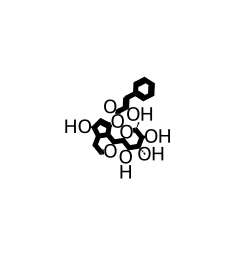 O=C(/C=C/c1ccccc1)OC1=C[C@@H](O)C2CCO[C@@H]([C@@H]3O[C@H](CO)[C@@H](O)[C@H](O)[C@H]3O)C12